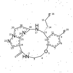 C=C1NCCOc2ccc(F)cc2[C@@H](CCF)Nc2ccn3ncc1c3n2